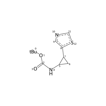 CC(C)(C)OC(=O)NC1CC1c1cncs1